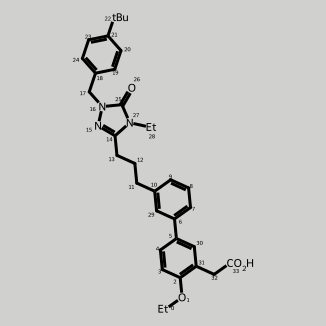 CCOc1ccc(-c2cccc(CCCc3nn(Cc4ccc(C(C)(C)C)cc4)c(=O)n3CC)c2)cc1CC(=O)O